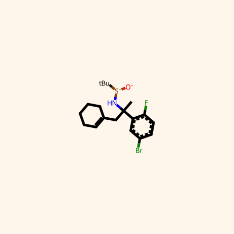 CC(CC1=CCCCC1)(N[S+]([O-])C(C)(C)C)c1cc(Br)ccc1F